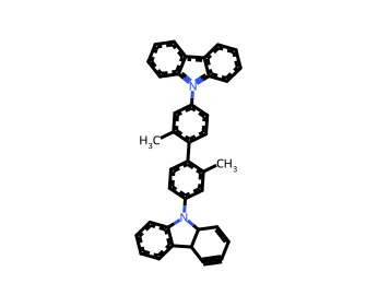 Cc1cc(N2c3ccccc3C3C#CC=CC32)ccc1-c1ccc(-n2c3ccccc3c3ccccc32)cc1C